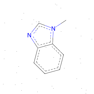 Cn1[c]nc2ccccc21